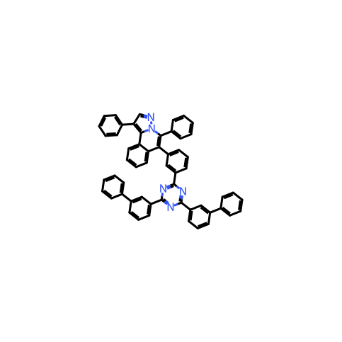 c1ccc(-c2cccc(-c3nc(-c4cccc(-c5ccccc5)c4)nc(-c4cccc(-c5c(-c6ccccc6)n6ncc(-c7ccccc7)c6c6ccccc56)c4)n3)c2)cc1